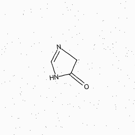 O=C1[CH]N=CN1